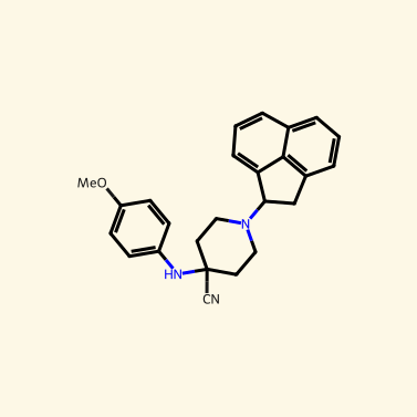 COc1ccc(NC2(C#N)CCN(C3Cc4cccc5cccc3c45)CC2)cc1